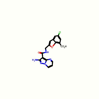 Nc1nn2cccnc2c1C(=O)NCc1cc2cc(Cl)cc(C(=O)O)c2o1